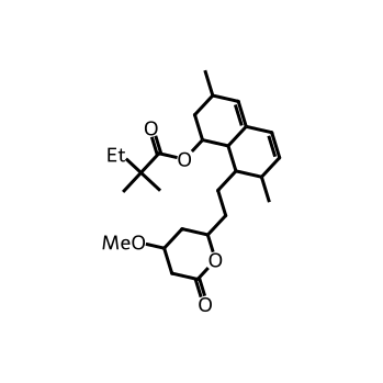 CCC(C)(C)C(=O)OC1CC(C)C=C2C=CC(C)C(CCC3CC(OC)CC(=O)O3)C21